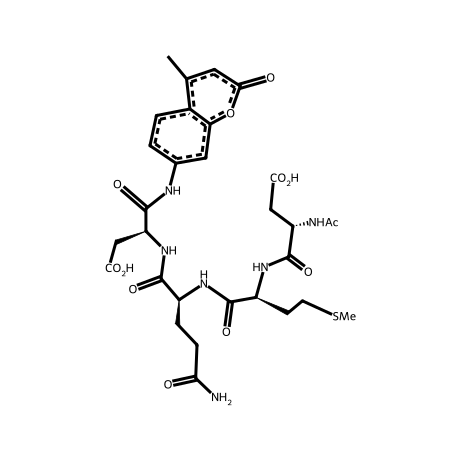 CSCC[C@H](NC(=O)[C@H](CC(=O)O)NC(C)=O)C(=O)N[C@@H](CCC(N)=O)C(=O)N[C@@H](CC(=O)O)C(=O)Nc1ccc2c(C)cc(=O)oc2c1